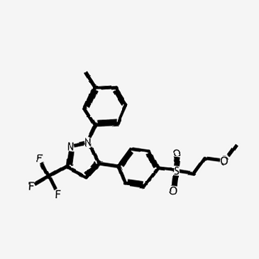 COCCS(=O)(=O)c1ccc(-c2cc(C(F)(F)F)nn2-c2cccc(C)c2)cc1